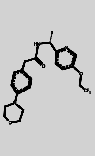 C[C@@H](NC(=O)Cc1ccc(N2CCOCC2)cc1)c1ccc(OCC(F)(F)F)cn1